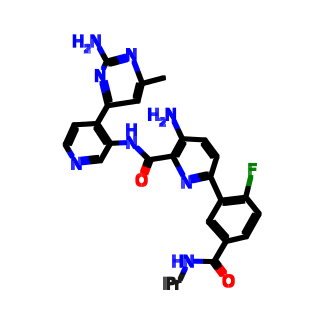 Cc1cc(-c2ccncc2NC(=O)c2nc(-c3cc(C(=O)NC(C)C)ccc3F)ccc2N)nc(N)n1